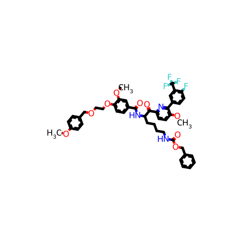 COc1ccc(COCCOc2ccc(C(=O)NC(CCCCNC(=O)OCc3ccccc3)C(=O)c3ccc(OC)c(-c4ccc(F)c(C(F)(F)F)c4)n3)cc2OC)cc1